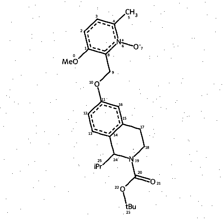 COc1ccc(C)[n+]([O-])c1COc1ccc2c(c1)CCN(C(=O)OC(C)(C)C)C2C(C)C